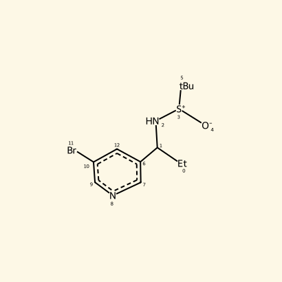 CCC(N[S+]([O-])C(C)(C)C)c1cncc(Br)c1